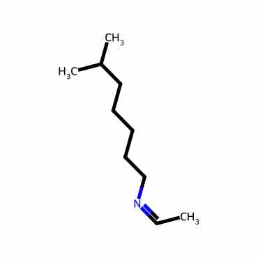 C/C=N\CCCCCC(C)C